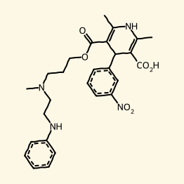 CC1=C(C(=O)O)C(c2cccc([N+](=O)[O-])c2)C(C(=O)OCCCN(C)CCNc2ccccc2)=C(C)N1